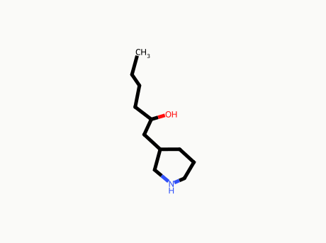 CCCCC(O)CC1CCCNC1